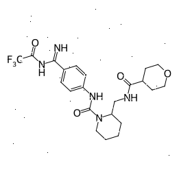 N=C(NC(=O)C(F)(F)F)c1ccc(NC(=O)N2CCCCC2CNC(=O)C2CCOCC2)cc1